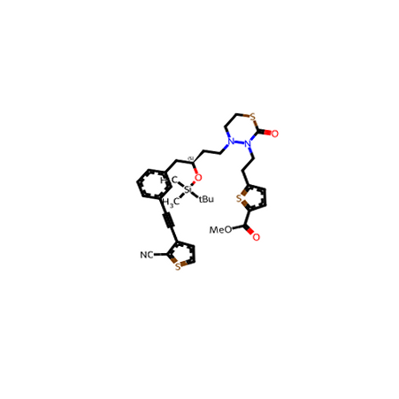 COC(=O)c1ccc(CCN2C(=O)SCCN2CC[C@H](Cc2cccc(C#Cc3ccsc3C#N)c2)O[Si](C)(C)C(C)(C)C)s1